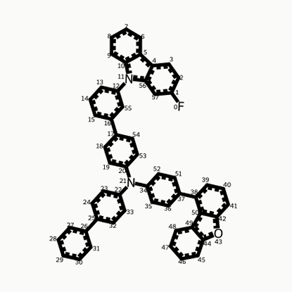 Fc1ccc2c3ccccc3n(-c3cccc(-c4ccc(N(c5ccc(-c6ccccc6)cc5)c5ccc(-c6cccc7oc8ccccc8c67)cc5)cc4)c3)c2c1